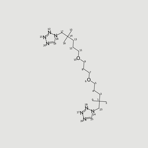 CC(C)(CCCOCCCOCCCC(C)(C)Cn1cnnn1)Cn1cnnn1